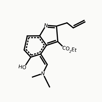 C=CCC1=Nc2ccc(O)c(=CN(C)C)c2=C1C(=O)OCC